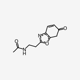 CC(=O)NCCc1nc2c(o1)CC(=O)C=C2